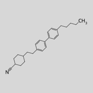 CCCCCc1ccc(-c2ccc(CCC3CCC(C#N)CC3)cc2)cc1